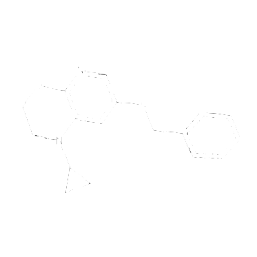 c1ccc(CSc2cnc3c(c2)N(C2CC2)CCO3)cc1